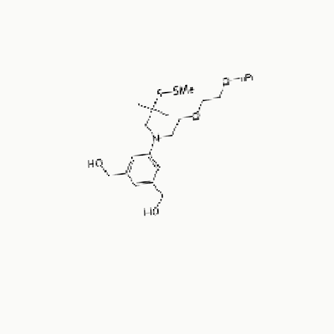 CCCOCCOCCN(CC(C)(C)SSC)c1cc(CO)cc(CO)c1